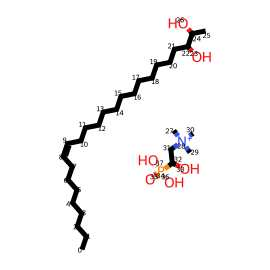 CCCCCCCC/C=C\CCCCCCCCCCCCC(O)C(C)O.C[N+](C)(C)CC(O)P(=O)(O)O